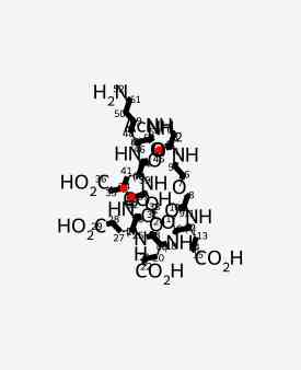 CC(=O)NCC(=O)NCCOCC(=O)N[C@H](CCC(=O)O)C(=O)N[C@H](CCC(=O)O)C(=O)N[C@H](CCC(=O)O)C(=O)N[C@H](CCC(=O)O)C(=O)N[C@H](CCC(=O)O)C(=O)N[C@H](CCCCN)C(N)=O